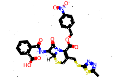 Cc1nnc(SCC2=C(C(=O)OCc3ccc([N+](=O)[O-])cc3)N3C(=O)C(NC(=O)c4ccccc4C(=O)O)[C@H]3SC2)s1